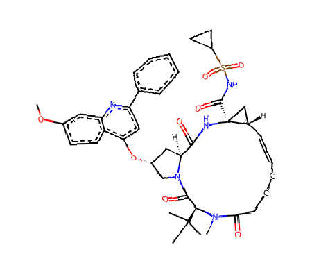 COc1ccc2c(O[C@@H]3C[C@H]4C(=O)N[C@@]5(C(=O)NS(=O)(=O)C6CC6)C[C@@H]5/C=C\CCCC(=O)N(C)[C@@H](C(C)(C)C)C(=O)N4C3)cc(-c3ccccc3)nc2c1